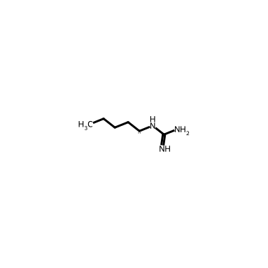 CCCC[C]NC(=N)N